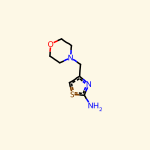 Nc1nc(CN2CCOCC2)cs1